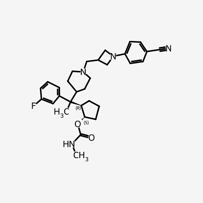 CNC(=O)O[C@H]1CCC[C@@H]1C(C)(c1cccc(F)c1)C1CCN(CC2CN(c3ccc(C#N)cc3)C2)CC1